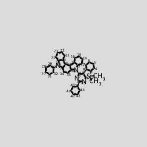 C[Si]1(C)c2ccccc2-c2c(-n3c4ccccc4c4c5c6ccccc6n(-c6ccccc6)c5ccc43)nc(-c3ccccc3)nc21